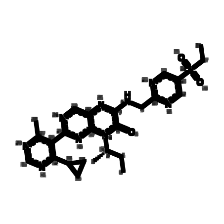 CC[C@H](C)n1c(=O)c(NCc2ncc(S(=O)(=O)CC)cn2)nc2cnc(-c3c(C)ncnc3C3CC3)nc21